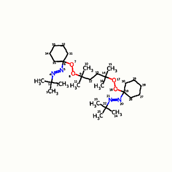 CC(C)(C)N=NC1(OOC(C)(C)CCC(C)(C)OOC2(N=NC(C)(C)C)CCCCC2)CCCCC1